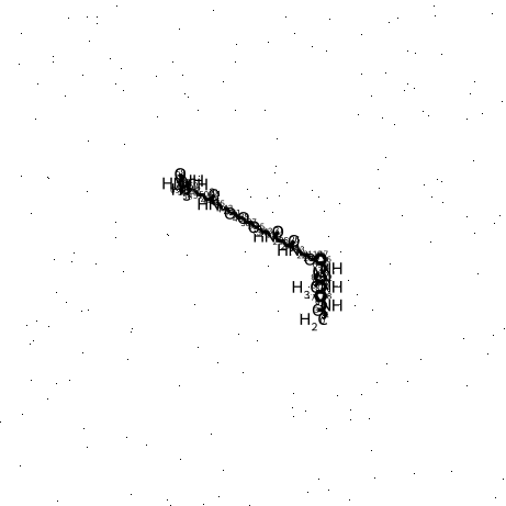 C=CC(=O)Nc1cccc(Nc2nc(Nc3cccc(OCCCNC(=O)CCCC(=O)NCCCOCCOCCOCCCNC(=O)CCCC[C@@H]4SC[C@@H]5NC(=O)N[C@@]54C)c3)ncc2C)c1